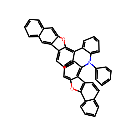 c1ccc(N(c2ccccc2-c2cccc3c2oc2cc4ccccc4cc23)c2cccc3oc4c5ccccc5ccc4c23)cc1